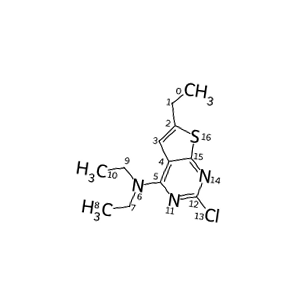 CCc1cc2c(N(CC)CC)nc(Cl)nc2s1